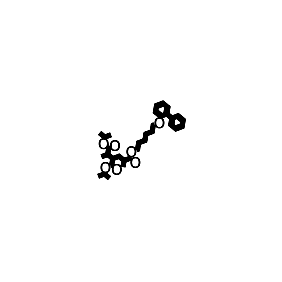 CC(C)OC(=O)C(C)C(CC(C)C(=O)OCCCCCCOc1ccccc1-c1ccccc1)C(=O)OC(C)C